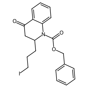 O=C1CC(CCCI)N(C(=O)OCc2ccccc2)c2ccccc21